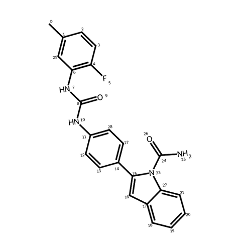 Cc1ccc(F)c(NC(=O)Nc2ccc(-c3cc4ccccc4n3C(N)=O)cc2)c1